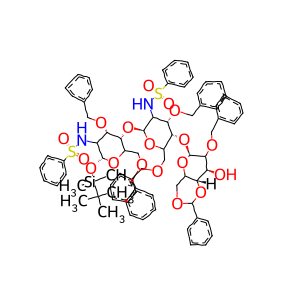 CC(C)(C)[Si](C)(C)O[C@H]1OC(COCc2ccccc2)[C@@H](O[C@@H]2OC(COCc3ccccc3)[C@@H](O[C@@H]3OC4COC(c5ccccc5)O[C@H]4[C@H](O)C3OCc3ccccc3)[C@@H](OCc3ccccc3)C2NS(=O)(=O)c2ccccc2)[C@@H](OCc2ccccc2)C1NS(=O)(=O)c1ccccc1